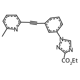 CCOC(=O)c1ncn(-c2cccc(C#Cc3cccc(C)n3)c2)n1